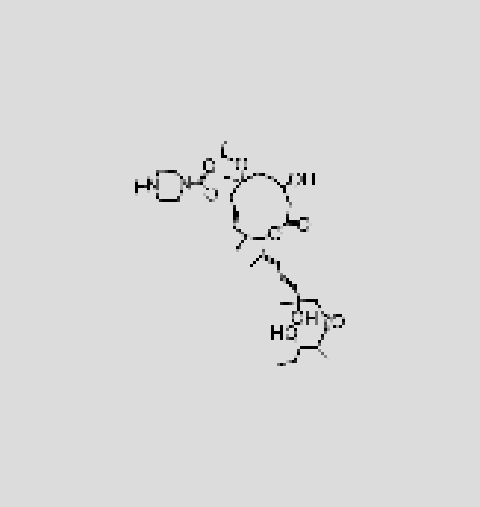 CCO[C@]1(C)CC[C@@H](O)CC(=O)O[C@H](/C(C)=C/C=C/C(C)(O)C[C@H]2O[C@@H]2[C@H](C)[C@@H](O)CC)[C@@H](C)/C=C/[C@@H]1OC(=O)N1CCN(I)CC1